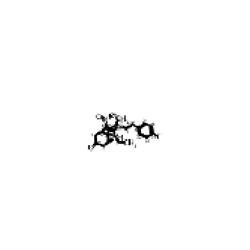 CCOC1(OCC)C2CC(=O)CC1C([N+](=O)[O-])=C(NCCc1ccc(F)cc1)N2